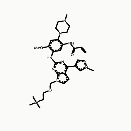 C=CC(=O)Nc1cc(Nc2nc(-c3cnn(C)c3)c3ccn(COCC[Si](C)(C)C)c3n2)c(OC)cc1N1CCN(C)CC1